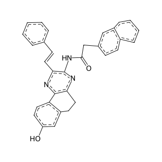 O=C(Cc1ccc2ccccc2c1)Nc1nc2c(nc1/C=C/c1ccccc1)-c1ccc(O)cc1CC2